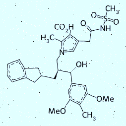 COc1cc([C@@H](O)[C@@H](CC2Cc3ccccc3C2)Cn2cc(CC(=O)NS(C)(=O)=O)c(C(=O)O)c2C)cc(OC)c1C